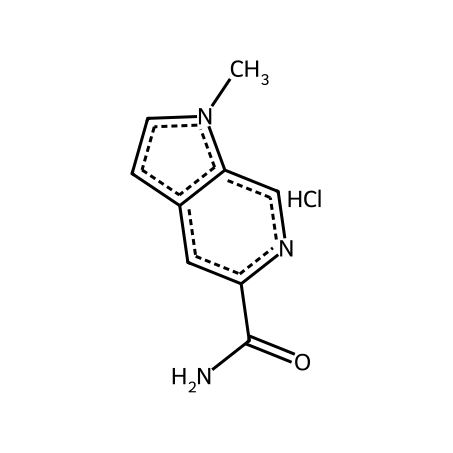 Cl.Cn1ccc2cc(C(N)=O)ncc21